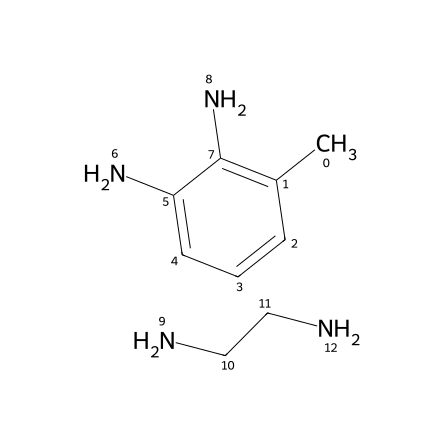 Cc1cccc(N)c1N.NCCN